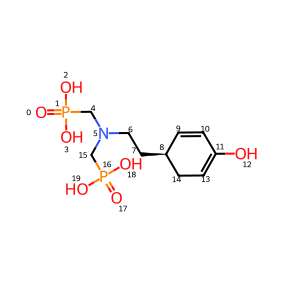 O=P(O)(O)CN(CC[C@H]1C=CC(O)=CC1)CP(=O)(O)O